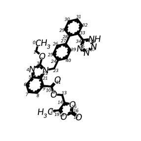 CCOc1nc2cccc(C(=O)OCc3oc(=O)oc3C)c2n1Cc1ccc(-c2ccccc2-c2nnn[nH]2)cc1